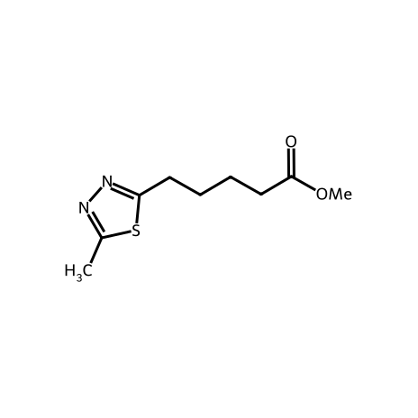 COC(=O)CCCCc1nnc(C)s1